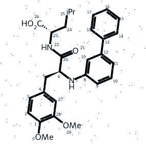 COc1ccc(C[C@H](Nc2cccc(-c3ccccc3)c2)C(=O)N[C@@H](CC(C)C)C(=O)O)cc1OC